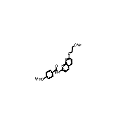 COCCOc1ccc2ccc(NC(=O)c3ccc(OC)cc3)nc2n1